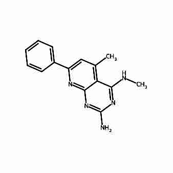 CNc1nc(N)nc2nc(-c3ccccc3)cc(C)c12